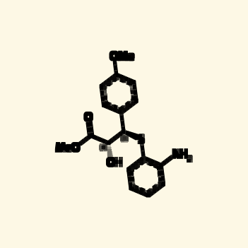 COC(=O)[C@@H](O)[C@H](Sc1ccccc1N)c1ccc(OC)cc1